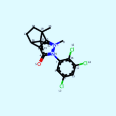 Cn1c2c(c(=O)n1-c1cc(Cl)cc(Cl)c1Cl)C1CCC2(C)C1(C)C